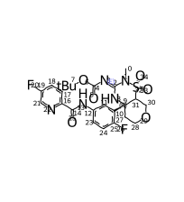 CN1/C(=N/C(=O)OC(C)(C)C)N[C@@]2(c3cc(NC(=O)c4ccc(F)cn4)ccc3F)CCOCC2S1(=O)=O